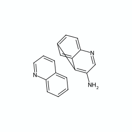 Nc1cnc2ccc3cc2c13.c1ccc2ncccc2c1